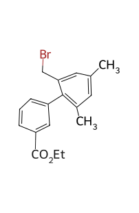 CCOC(=O)c1cccc(-c2c(C)cc(C)cc2CBr)c1